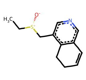 CC[S@+]([O-])Cc1cncc2c1CCC=C2